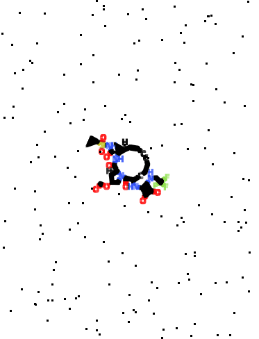 O=CO[C@@H]1C[C@H]2C(=O)N[C@]3(C(=O)NS(=O)(=O)C4CC4)C[C@H]3/C=C\CCCCC[C@H](Nc3c(NCC(F)(F)F)c(=O)c3=O)C(=O)N2C1